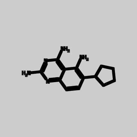 Nc1nc(N)c2c(N)c(C3CCCC3)ccc2n1